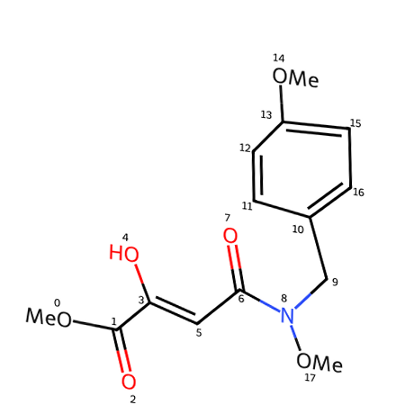 COC(=O)/C(O)=C/C(=O)N(Cc1ccc(OC)cc1)OC